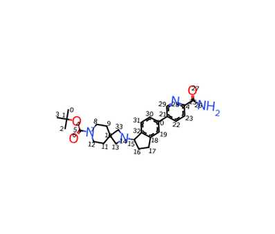 CC(C)(C)OC(=O)N1CCC2(CC1)CN([C@@H]1CCc3cc(-c4ccc(C(N)=O)nc4)ccc31)C2